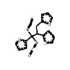 O=C=NC(N=C=O)(c1ccco1)C(Cc1ccco1)c1ccco1